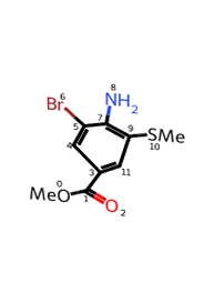 COC(=O)c1cc(Br)c(N)c(SC)c1